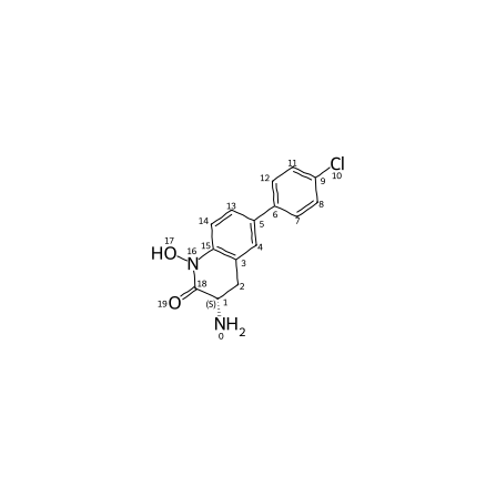 N[C@H]1Cc2cc(-c3ccc(Cl)cc3)ccc2N(O)C1=O